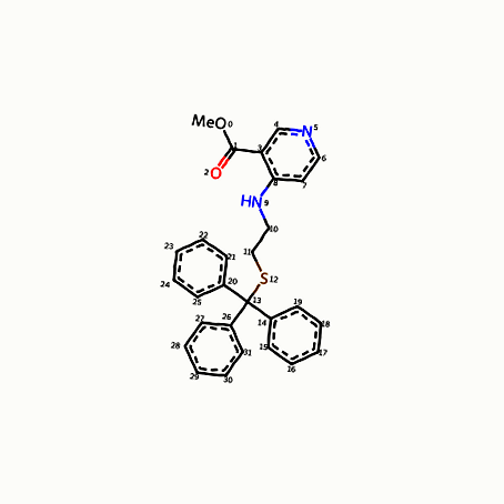 COC(=O)c1cnccc1NCCSC(c1ccccc1)(c1ccccc1)c1ccccc1